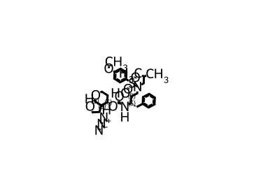 COc1ccc(S(=O)(=O)N(CC(C)C)C[C@@H](O)[C@H](Cc2ccccc2)NC(=O)O[C@H]2CCO[C@H]3OCC(N=[N+]=[N-])[C@H]32)cc1